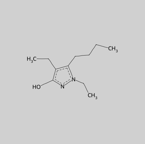 CCCCc1c(CC)c(O)nn1CC